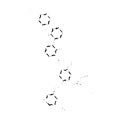 Cc1c(COc2cc(OCc3cncc(C#N)c3)c(CN(CCO)C(=O)O)cc2Cl)cccc1-c1cccc(-c2ccc(C=O)cc2)c1C